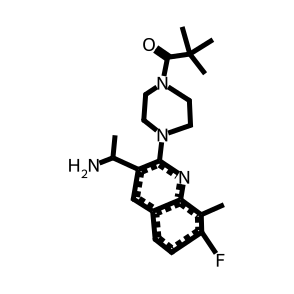 Cc1c(F)ccc2cc(C(C)N)c(N3CCN(C(=O)C(C)(C)C)CC3)nc12